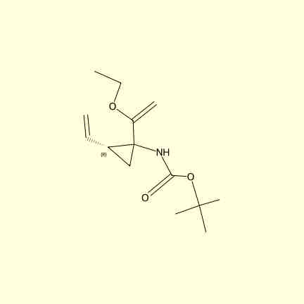 C=C[C@H]1CC1(NC(=O)OC(C)(C)C)C(=C)OCC